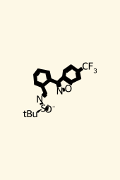 CC(C)(C)[S@+]([O-])N=Cc1ccccc1-c1noc2cc(C(F)(F)F)ccc12